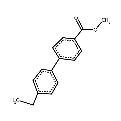 CCc1ccc(-c2ccc(C(=O)OC)cc2)cc1